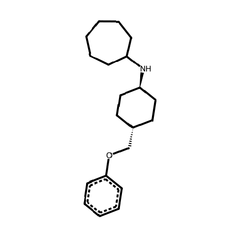 c1ccc(OC[C@H]2CC[C@H](NC3CCCCCC3)CC2)cc1